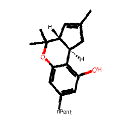 CCCCCc1cc(O)c2c(c1)OC(C)(C)[C@@H]1C=C(C)C[C@@H]21